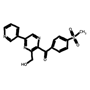 CS(=O)(=O)c1ccc(C(=O)c2ncc(-c3cccnc3)nc2CO)cc1